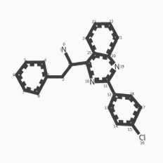 [N]C(Cc1ccccc1)c1nc(-c2ccc(Cl)cc2)nc2ccccc12